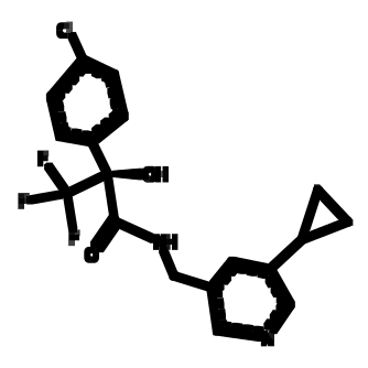 O=C(NCc1cncc(C2CC2)c1)[C@@](O)(c1ccc(Cl)cc1)C(F)(F)F